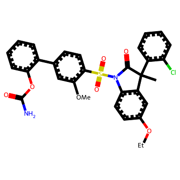 CCOc1ccc2c(c1)C(C)(c1ccccc1Cl)C(=O)N2S(=O)(=O)c1ccc(-c2ccccc2OC(N)=O)cc1OC